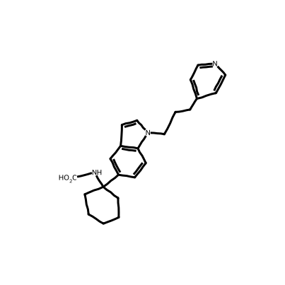 O=C(O)NC1(c2ccc3c(ccn3CCCc3ccncc3)c2)CCCCC1